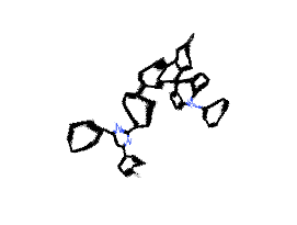 c1ccc(-c2cc(-c3ccccc3)nc(-c3ccc(-c4ccc5c(c4)C4(c6ccccc6-5)c5ccccc5N(c5ccccc5)c5ccccc54)cc3)n2)cc1